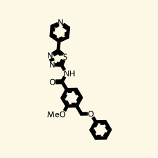 COc1cc(C(=O)Nc2nnc(-c3ccncc3)s2)ccc1COc1ccccc1